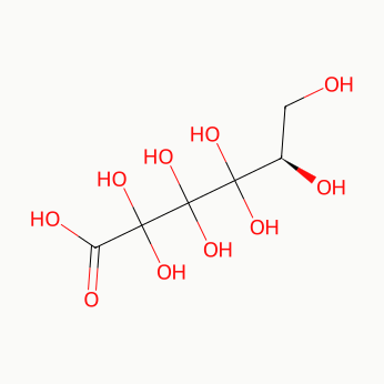 O=C(O)C(O)(O)C(O)(O)C(O)(O)[C@H](O)CO